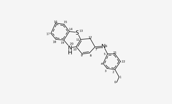 CCc1ccc(N=C2C=CC3=C(C2)Sc2ccccc2N3)cc1